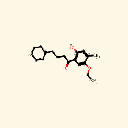 CCOc1cc(C(=O)CCCC2CCCCC2)c(O)cc1C